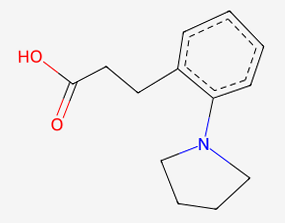 O=C(O)CCc1ccccc1N1CCCC1